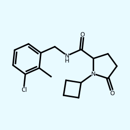 Cc1c(Cl)cccc1CNC(=O)C1CCC(=O)N1C1CCC1